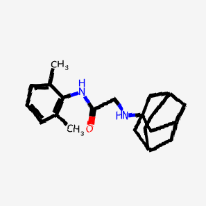 Cc1cccc(C)c1NC(=O)CNC12CC3CC(CC(C3)C1)C2